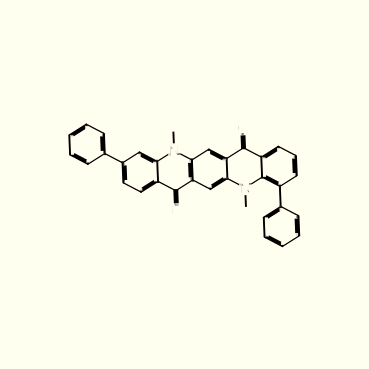 Cn1c2cc(-c3ccccc3)ccc2c(=O)c2cc3c(cc21)c(=O)c1cccc(-c2ccccc2)c1n3C